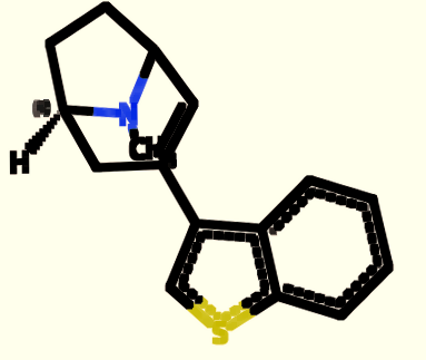 CN1C2C=C(c3csc4ccccc34)C[C@H]1CC2